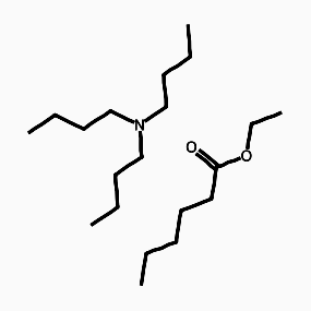 CCCCCC(=O)OCC.CCCCN(CCCC)CCCC